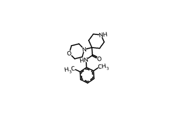 Cc1cccc(C)c1NC(=O)C1(N2CCOCC2)CCNCC1